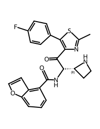 Cc1nc(C(=O)C(NC(=O)c2cccc3occc23)[C@H]2CCN2)c(-c2ccc(F)cc2)s1